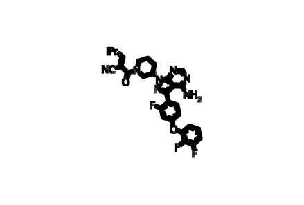 CC(C)C=C(C#N)C(=O)N1CCC[C@H](n2nc(-c3ccc(Oc4cccc(F)c4F)cc3F)c3c(N)ncnc32)C1